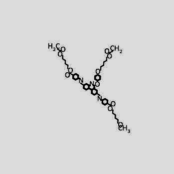 C=CC(=O)OCCCCCCOC(=O)c1ccc(N=Cc2ccc3c(c2)nc(Oc2ccc(OCCCCCCOC(=O)C=C)cc2)c2cc(C=Nc4ccc(C(=O)OCCCCCCOC)cc4)ccc23)cc1